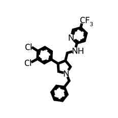 FC(F)(F)c1ccc(NCC2CN(Cc3ccccc3)CC2c2ccc(Cl)c(Cl)c2)nc1